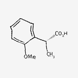 COc1ccccc1[C@@H](C)C(=O)O